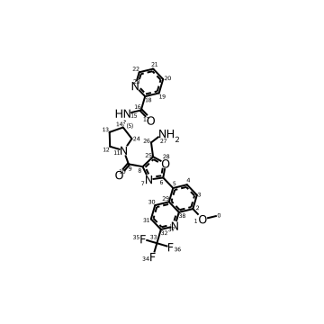 COc1ccc(-c2nc(C(=O)N3CC[C@H](NC(=O)c4ccccn4)C3)c(CN)o2)c2ccc(C(F)(F)F)nc12